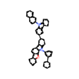 c1ccc(-c2cccc(-n3c4ccc(-c5ccc6c(c5)c5ccccc5n6-c5ccc6ccccc6c5)cc4c4ccc5c6ccccc6oc5c43)c2)cc1